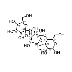 OC[C@H]1O[C@](O)(O[C@H]2[C@@H](O)[C@@H](CO)O[C@](O)(O[C@H]3[C@H](O)[C@@H](O)C(O)O[C@@H]3CO)[C@@H]2O)[C@H](O)[C@@H](O)[C@H]1O